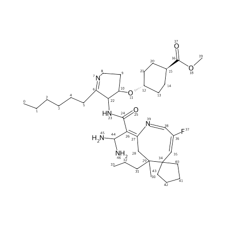 CCCCCCC1=NCCC(O[C@H]2CC[C@H](C(=O)OC)CC2)C1NC(=O)\C(=C1CC(C)(CCC)C2(\C=C(F)/C=N\1)CCCC2)C(N)N